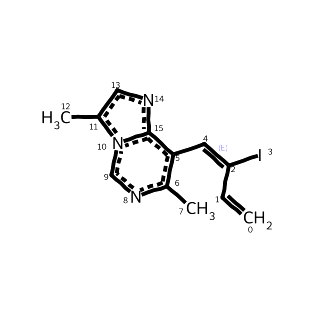 C=C/C(I)=C\c1c(C)ncn2c(C)cnc12